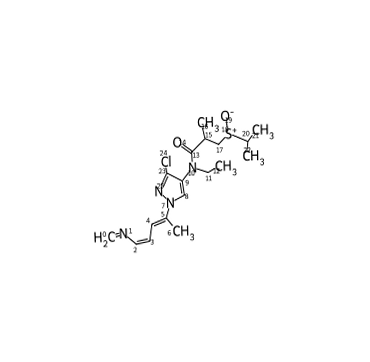 C=N/C=C\C=C(/C)n1cc(N(CC)C(=O)C(C)C[S+]([O-])C(C)C)c(Cl)n1